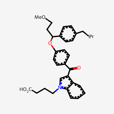 COCCC(Oc1ccc(C(=O)c2cn(CCCC(=O)O)c3ccccc23)cc1)c1ccc(CC(C)C)cc1